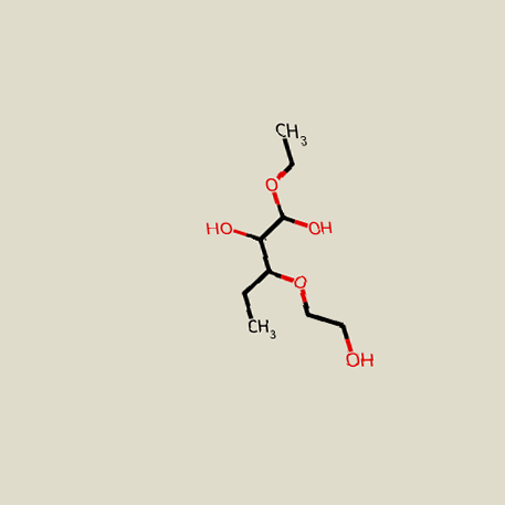 CCOC(O)[C](O)C(CC)OCCO